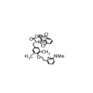 CNc1cccc(CCOc2c(C)cc(C[C@H](NC(=O)c3c(Cl)cccc3Cl)C(=O)OC)cc2C)n1